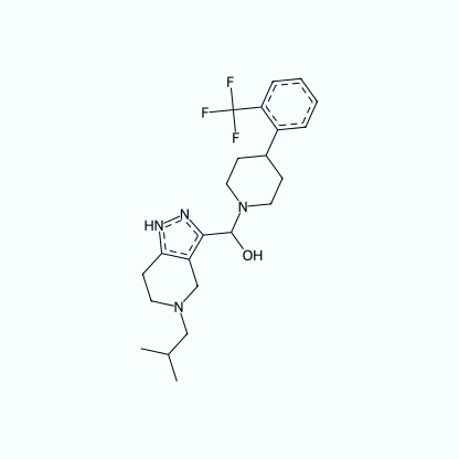 CC(C)CN1CCc2[nH]nc(C(O)N3CCC(c4ccccc4C(F)(F)F)CC3)c2C1